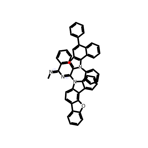 C/N=C(\N=C(/c1cc2cc(-c3ccccc3)c3ccccc3c2n1-c1ccccc1)n1c2ccccc2c2c3oc4ccccc4c3ccc21)c1ccccc1